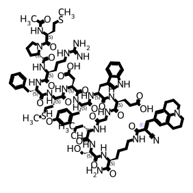 CSCC[C@H](NC(=O)[C@H](Cc1ccccc1)NC(=O)[C@H](CCCNC(=N)N)NC(=O)[C@@H]1CCCN1C(=O)[C@H](CCSC)NC(C)=O)C(=O)N[C@@H](CC(=O)O)C(=O)N[C@@H](Cc1ccc(O)cc1)C(=O)N[C@@H](Cc1c[nH]c2ccccc12)C(=O)N[C@@H](CCC(=O)O)C(=O)NCC(=O)N[C@@H](CC(C)C)C(=O)N[C@@H](CO)C(=O)N[C@@H](CCCCNC(=O)/C(C#N)=C/c1cc2c3c(c1)CCCN3CCC2)C(N)=O